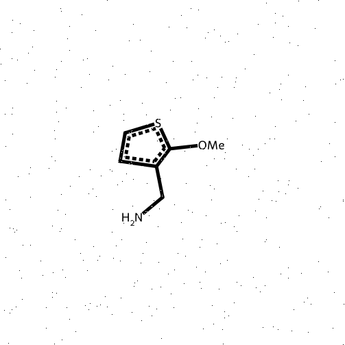 COc1sccc1CN